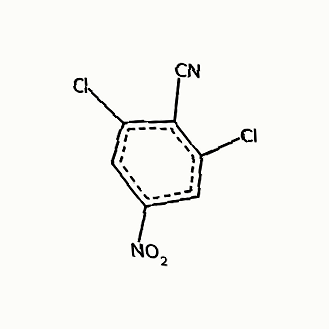 N#Cc1c(Cl)cc([N+](=O)[O-])cc1Cl